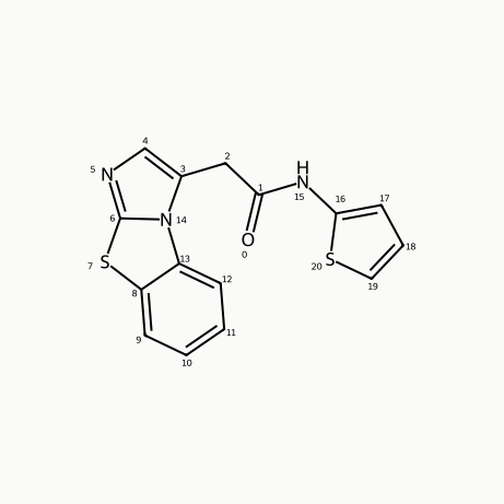 O=C(Cc1cnc2sc3ccccc3n12)Nc1cccs1